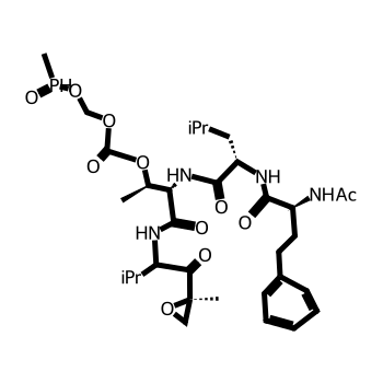 CC(=O)N[C@@H](CCc1ccccc1)C(=O)N[C@@H](CC(C)C)C(=O)N[C@H](C(=O)NC(C(=O)[C@@]1(C)CO1)C(C)C)[C@@H](C)OC(=O)OCO[PH](C)=O